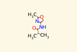 Cc1nc(NC(=O)C(C)C)co1